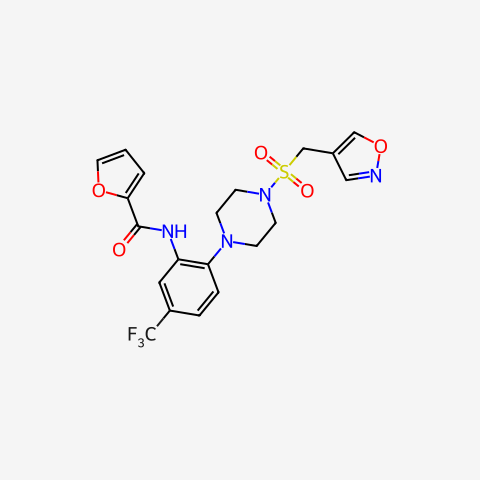 O=C(Nc1cc(C(F)(F)F)ccc1N1CCN(S(=O)(=O)Cc2cnoc2)CC1)c1ccco1